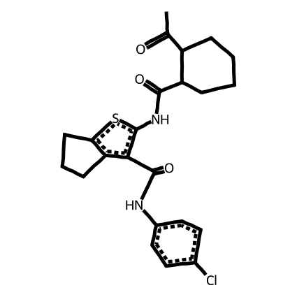 CC(=O)C1CCCCC1C(=O)Nc1sc2c(c1C(=O)Nc1ccc(Cl)cc1)CCC2